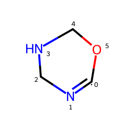 [C]1=NCNCO1